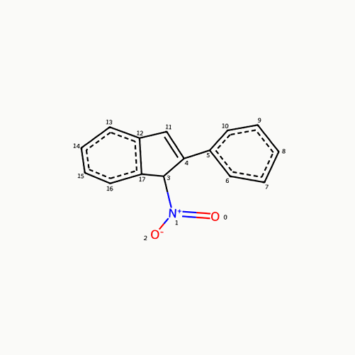 O=[N+]([O-])C1C(c2ccccc2)=Cc2ccccc21